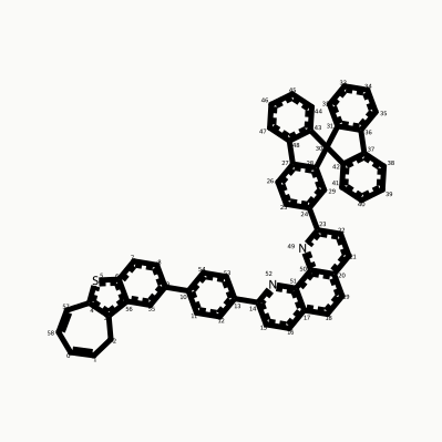 C1=CCc2c(sc3ccc(-c4ccc(-c5ccc6ccc7ccc(-c8ccc9c(c8)C8(c%10ccccc%10-c%10ccccc%108)c8ccccc8-9)nc7c6n5)cc4)cc23)C=C1